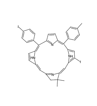 Cc1ccc(-c2c3nc(c(-c4ccc(I)cc4)c4ccc(cc5nc(cc6[nH]c2cc6I)C(C)(C)C5)[nH]4)C=C3)cc1